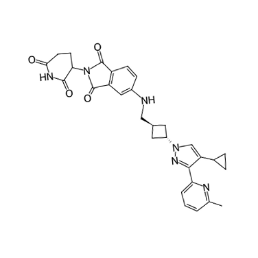 Cc1cccc(-c2nn([C@H]3C[C@H](CNc4ccc5c(c4)C(=O)N(C4CCC(=O)NC4=O)C5=O)C3)cc2C2CC2)n1